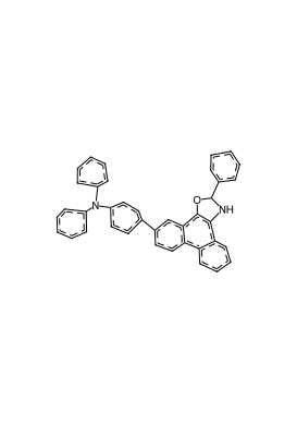 c1ccc(C2Nc3c(c4cc(-c5ccc(N(c6ccccc6)c6ccccc6)cc5)ccc4c4ccccc34)O2)cc1